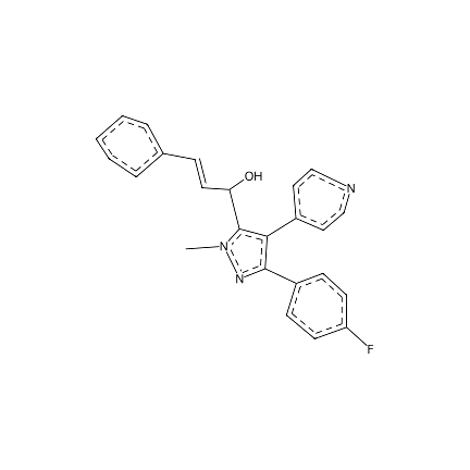 Cn1nc(-c2ccc(F)cc2)c(-c2ccncc2)c1C(O)C=Cc1ccccc1